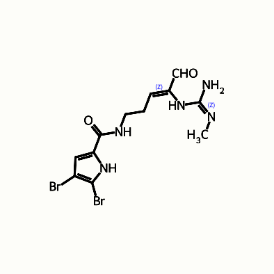 C/N=C(/N)N/C(C=O)=C\CCNC(=O)c1cc(Br)c(Br)[nH]1